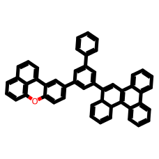 C1=CC2C(c3cc(-c4ccccc4)cc(-c4ccc5c(c4)-c4cccc6cccc(c46)O5)c3)=Cc3c(c4ccccc4c4ccccc34)C2C=C1